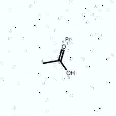 CC(=O)O.[Pr]